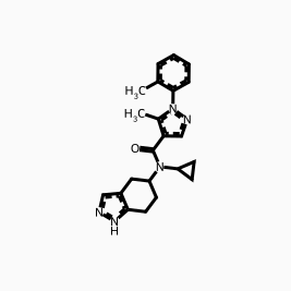 Cc1ccccc1-n1ncc(C(=O)N(C2CC2)C2CCc3[nH]ncc3C2)c1C